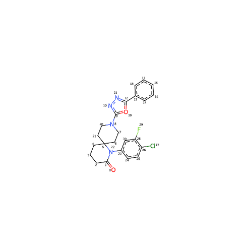 O=C1CCCC2(CCN(c3nnc(-c4ccccc4)o3)CC2)N1c1ccc(Cl)c(F)c1